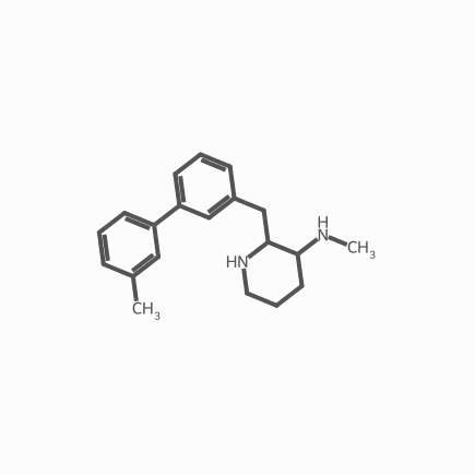 CNC1CCCNC1Cc1cccc(-c2cccc(C)c2)c1